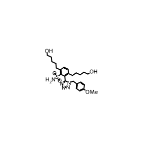 COc1ccc(Cn2nnnc2-c2c(CCCCCO)ccc(CCCCCO)c2S(N)(=O)=O)cc1